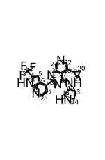 FC(F)(F)c1cc2c(-c3nc(N[C@@H]4CCNC4)c4c(C5CC5)cncc4n3)ccnc2[nH]1